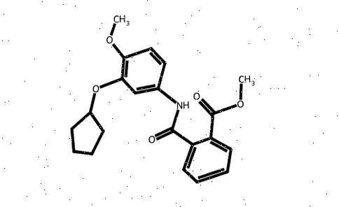 COC(=O)c1ccccc1C(=O)Nc1ccc(OC)c(OC2CCCC2)c1